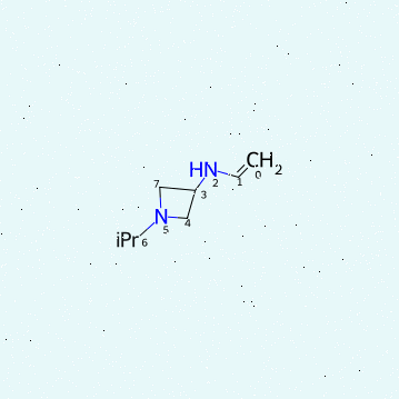 C=CNC1CN(C(C)C)C1